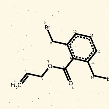 C=CCOC(=O)c1c(CBr)cccc1CBr